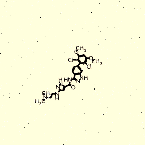 COc1cc(OC)c(Cl)c(-c2ccc3c(NC(=O)c4cc(NCCN(C)C)n[nH]4)n[nH]c3c2)c1Cl